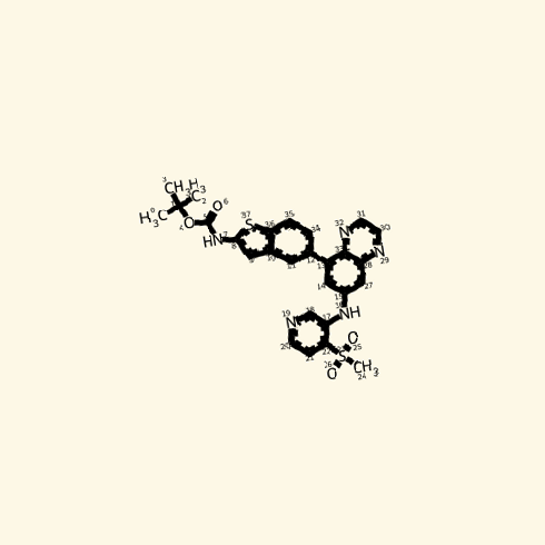 CC(C)(C)OC(=O)Nc1cc2cc(-c3cc(Nc4cnccc4S(C)(=O)=O)cc4nccnc34)ccc2s1